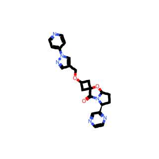 O=C1N2C(CC[C@H]2c2cnccn2)OC12CC(OCc1cnn(-c3ccncc3)c1)C2